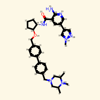 CC1CN(Cc2ccc(-c3ccc(CO[C@H]4CCC[C@@H]4NC(=O)c4cc(-c5cnn(C)c5)cnc4N)cc3)cc2)CC(C)N1C